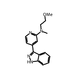 COCCN(C)c1cc(-c2n[nH]c3ccccc23)ccn1